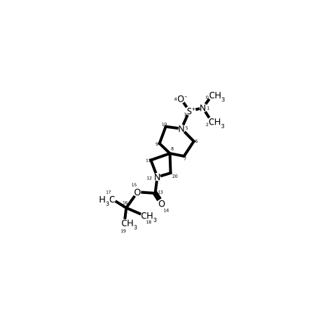 CN(C)[S+]([O-])N1CCC2(CC1)CN(C(=O)OC(C)(C)C)C2